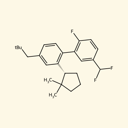 CC(C)(C)Cc1ccc(-c2cc(C(F)F)ccc2F)c([C@@H]2CCCC2(C)C)c1